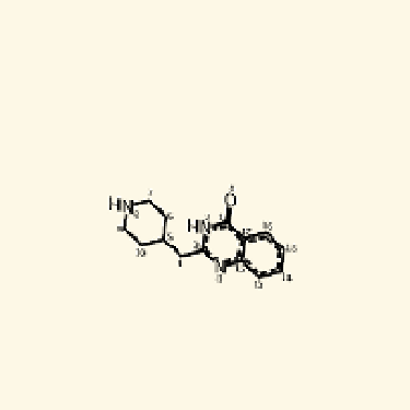 O=c1[nH]c(CC2CCNCC2)nc2ccccc12